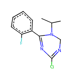 CC(C)N1CN=C(Cl)N=C1c1ccccc1F